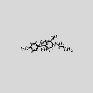 C=CCNc1ccc(C(C)(C)c2ccc(O)cc2)cc1O